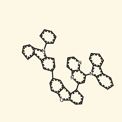 c1ccc(-n2c3ccccc3c3cc(-c4ccc5oc6cccc(-c7cc(-n8c9ccccc9c9ccccc98)c8ncccc8n7)c6c5c4)ccc32)cc1